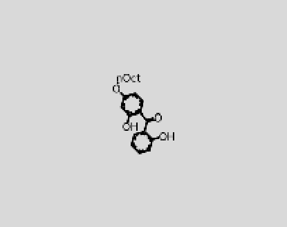 CCCCCCCCOc1ccc(C(=O)c2ccccc2O)c(O)c1